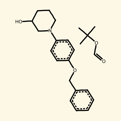 CC(C)(C)OC=O.OC1CCCN(c2ccc(OCc3ccccc3)cc2)C1